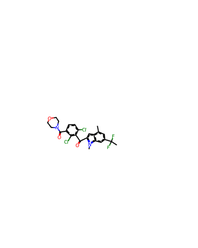 Cc1cc(C(C)(F)F)cc2c1cc(C(=O)c1c(Cl)ccc(C(=O)N3CCOCC3)c1Cl)n2C